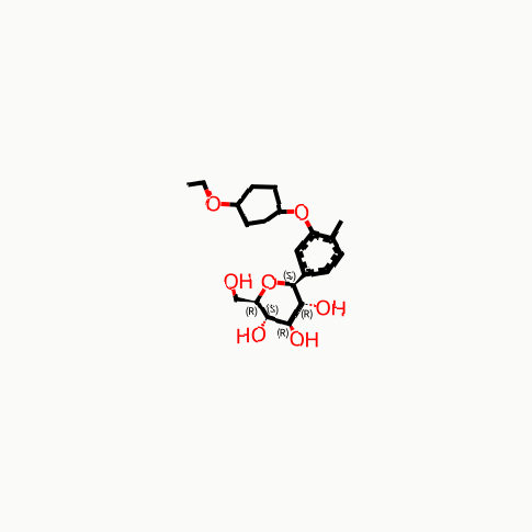 CCOC1CCC(Oc2cc([C@@H]3O[C@H](CO)[C@@H](O)[C@H](O)[C@H]3O)ccc2C)CC1